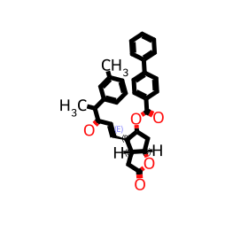 Cc1cccc(C(C)C(=O)/C=C/[C@H]2C(OC(=O)c3ccc(-c4ccccc4)cc3)C[C@@H]3OC(=O)C[C@@H]32)c1